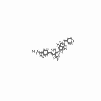 Cn1cnc2cc(-c3cc(C(F)(F)F)c(N[C@H]4C[C@@H]5CN(CC6CCOCC6)C[C@@H]5C4)nn3)ccc21